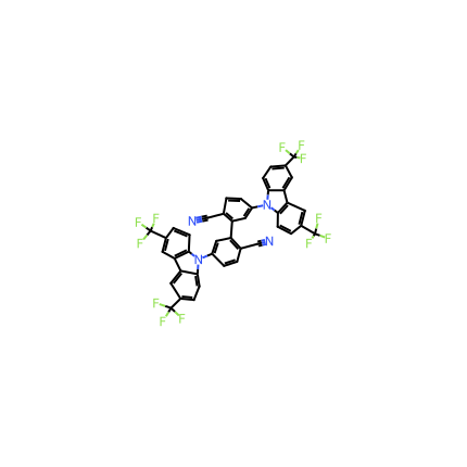 N#Cc1ccc(-n2c3ccc(C(F)(F)F)cc3c3cc(C(F)(F)F)ccc32)cc1-c1cc(-n2c3ccc(C(F)(F)F)cc3c3cc(C(F)(F)F)ccc32)ccc1C#N